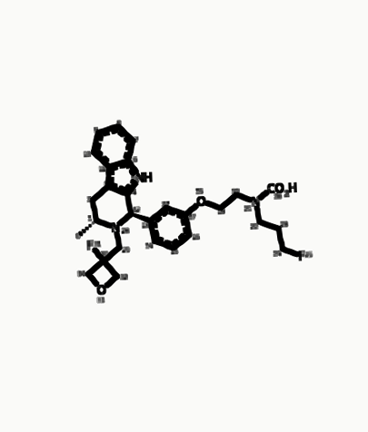 C[C@@H]1Cc2c([nH]c3ccccc23)[C@@H](c2cccc(OCCN(CCCF)C(=O)O)c2)N1CC1(F)COC1